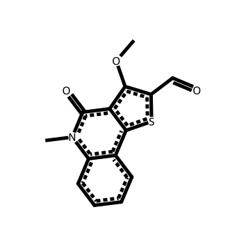 COc1c(C=O)sc2c1c(=O)n(C)c1ccccc21